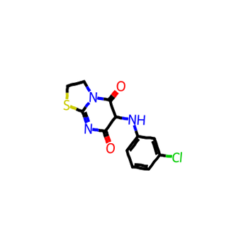 O=C1N=C2SCCN2C(=O)C1Nc1cccc(Cl)c1